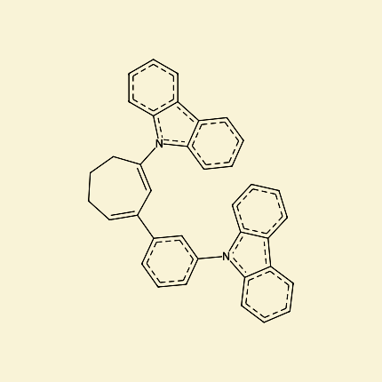 C1=C(c2cccc(-n3c4ccccc4c4ccccc43)c2)C=C(n2c3ccccc3c3ccccc32)CCC1